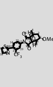 CO[C@H]1CC2(C)OC1(C)[C@@H]1C(=O)N(c3ccc(-c4nccs4)c(C(F)(F)F)c3)C(=O)[C@@H]12